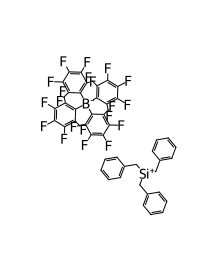 Fc1c(F)c(F)c([B-](c2c(F)c(F)c(F)c(F)c2F)(c2c(F)c(F)c(F)c(F)c2F)c2c(F)c(F)c(F)c(F)c2F)c(F)c1F.c1ccc(C[Si+](Cc2ccccc2)Cc2ccccc2)cc1